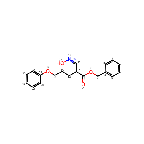 O=C(OCc1ccccc1)C(/C=N\O)CCCOc1ccccc1